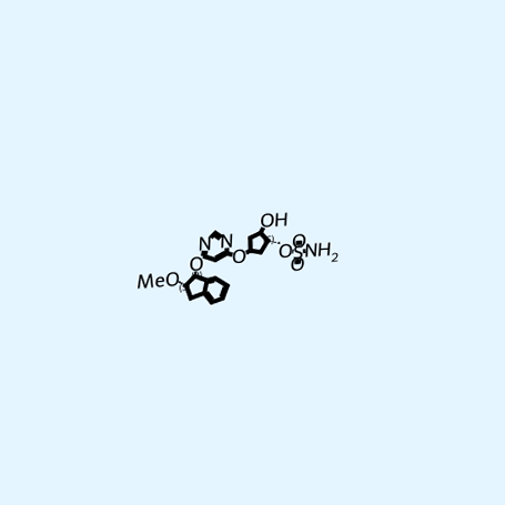 CO[C@H]1Cc2ccccc2[C@H]1Oc1cc(OC2CC(O)[C@H](COS(N)(=O)=O)C2)ncn1